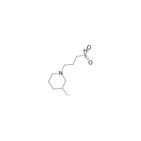 [CH2]C1CCCN(CCC[SH](=O)=O)C1